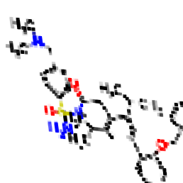 CC(C)c1cc(-c2ccccc2OCc2ccccc2)cc(C(C)C)c1CC(=O)N=S(N)(=O)c1ccc(CN(C)C)cc1